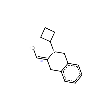 O/C=C1/Cc2ccccc2CN1C1CCC1